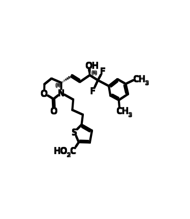 Cc1cc(C)cc(C(F)(F)[C@H](O)C=C[C@H]2CCOC(=O)N2CCCc2ccc(C(=O)O)s2)c1